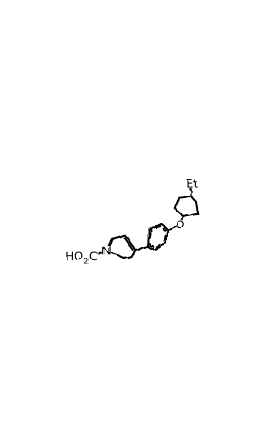 CC[C@H]1CC[C@@H](Oc2ccc(C3=CCN(C(=O)O)CC3)cc2)CC1